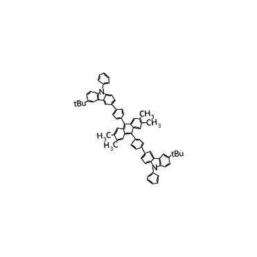 Cc1cc2c(-c3ccc(-c4ccc5c(c4)c4cc(C(C)(C)C)ccc4n5-c4ccccc4)cc3)c3cc(C)c(C)cc3c(-c3ccc(-c4ccc5c(c4)c4cc(C(C)(C)C)ccc4n5-c4ccccc4)cc3)c2cc1C